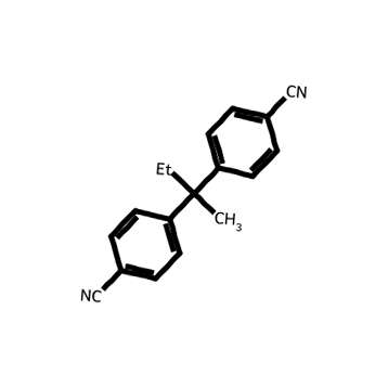 CCC(C)(c1ccc(C#N)cc1)c1ccc(C#N)cc1